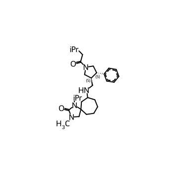 CC(C)CC(=O)N1C[C@H](CNC2CCCCC3(C2)CN(C)C(=O)N3C(C)C)[C@@H](c2ccccc2)C1